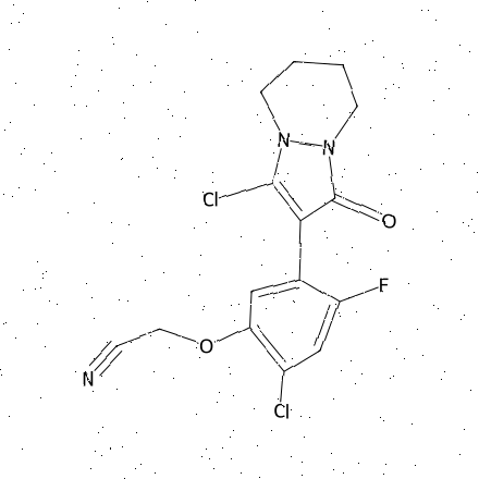 N#CCOc1cc(-c2c(Cl)n3n(c2=O)CCCC3)c(F)cc1Cl